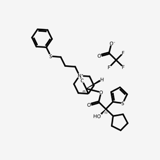 O=C(O[C@H]1C[N+]2(CCCSc3ccccc3)CCC1CC2)[C@](O)(c1cccs1)C1CCCC1.O=C([O-])C(F)(F)F